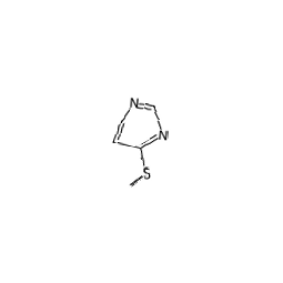 CSc1ccncn1